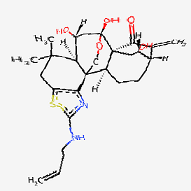 C=CCNc1nc2c(s1)CC(C)(C)[C@H]1[C@H](O)[C@@]3(O)OC[C@@]21[C@@H]1CC[C@H]2C(=C)C(=O)[C@]13[C@@H]2O